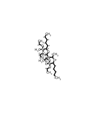 CCCCCC(OC(C)NC(C)OC(CCCCC)[Si](C)(OCC)OCC)[Si](C)(OCC)OCC